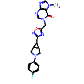 Cn1cnc2ncn(Cc3nc(C4C5CN(c6ccc(F)cc6)CC54)no3)c(=O)c21